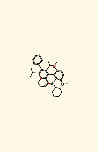 COc1ccc(OC)c(P(C2CCCCC2)C2CCCCC2)c1-c1c(C(C)C)cc(C(C)C)c(-c2ccccc2)c1C(C)C